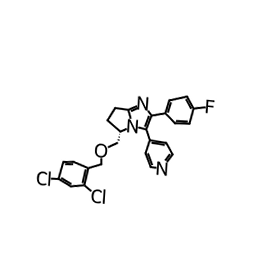 Fc1ccc(-c2nc3n(c2-c2ccncc2)[C@H](COCc2ccc(Cl)cc2Cl)CC3)cc1